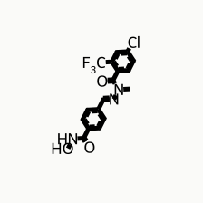 CN(N=Cc1ccc(C(=O)NO)cc1)C(=O)c1ccc(Cl)cc1C(F)(F)F